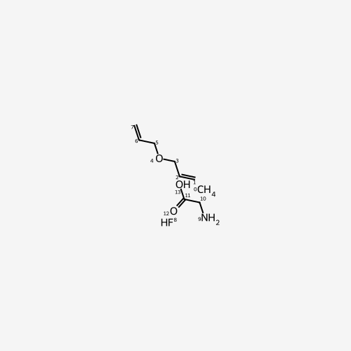 C.C=CCOCC=C.F.NCC(=O)O